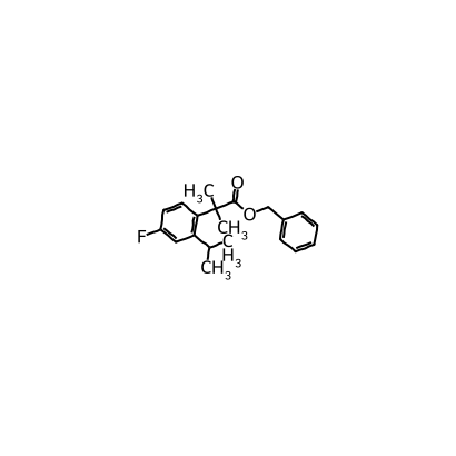 CC(C)c1cc(F)ccc1C(C)(C)C(=O)OCc1ccccc1